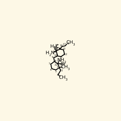 CCCC1(C)CCCC(CC2CCCC(C)(CCC)C2(N)Br)C1(N)Br